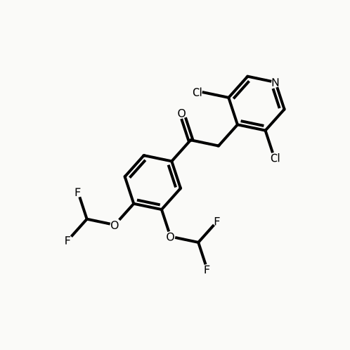 O=C(Cc1c(Cl)cncc1Cl)c1ccc(OC(F)F)c(OC(F)F)c1